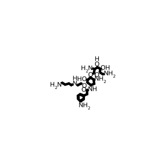 NCCCCNCCOC1[C@@H](O)[C@H](O[C@H]2OC(CN)[C@@H](O)[C@H](O)C2N)C(N)C[C@H]1NC(=O)Cc1cccc(N)c1